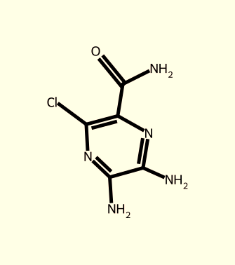 NC(=O)c1nc(N)c(N)nc1Cl